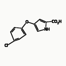 O=C(O)c1cc(Oc2ccc(Cl)cc2)c[nH]1